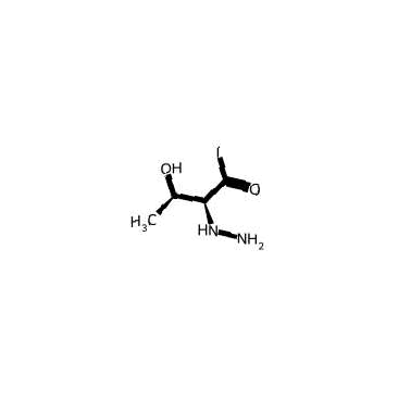 C[C@@H](O)[C@H](NN)C(=O)I